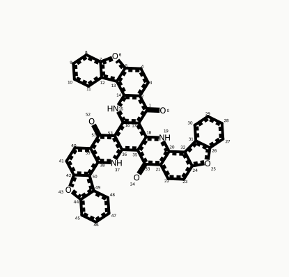 O=c1c2ccc3oc4ccccc4c3c2[nH]c2c1c1[nH]c3c(ccc4oc5ccccc5c43)c(=O)c1c1[nH]c3c(ccc4oc5ccccc5c43)c(=O)c21